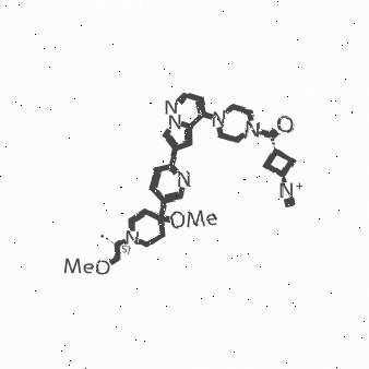 C#[N+][C@H]1C[C@H](C(=O)N2CCN(c3ccnn4cc(-c5ccc(C6(OC)CCN([C@@H](C)COC)CC6)cn5)cc34)CC2)C1